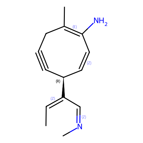 C/C=C(\C=N/C)[C@H]1C#CC/C(C)=C(N)\C=C/1